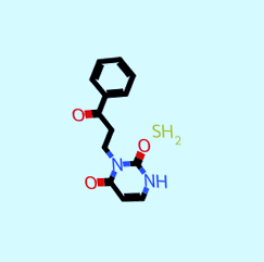 O=C(CCn1c(=O)cc[nH]c1=O)c1ccccc1.S